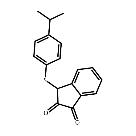 CC(C)c1ccc(SC2C(=O)C(=O)c3ccccc32)cc1